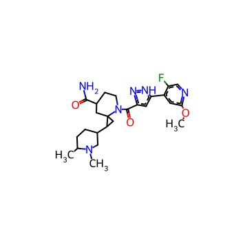 COc1cc(-c2cc(C(=O)N3CCC(C(N)=O)CC34CC4C3CCC(C)N(C)C3)n[nH]2)c(F)cn1